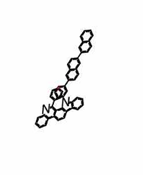 c1ccc(-c2nc3ccccc3c3ccc4c5ccccc5n(-c5cccc(-c6ccc7cc(-c8ccc9ccccc9c8)ccc7c6)c5)c4c23)cc1